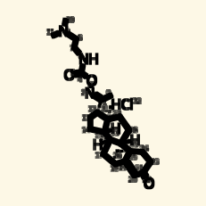 C/C(=N\OC(=O)NCCN(C)C)[C@H]1CC[C@H]2[C@@H]3CCC4=CC(=O)CC[C@]4(C)[C@H]3CC[C@]12C.Cl